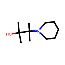 CC(C)(O)C(C)(C)N1CCCCC1